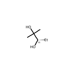 CC[C@H](O)C(C)(C)O